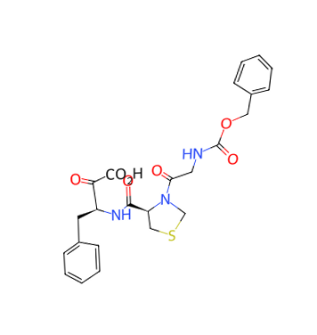 O=C(NCC(=O)N1CSC[C@H]1C(=O)N[C@@H](Cc1ccccc1)C(=O)C(=O)O)OCc1ccccc1